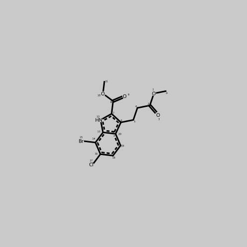 COC(=O)CCc1c(C(=O)OC)[nH]c2c(Br)c(Cl)ccc12